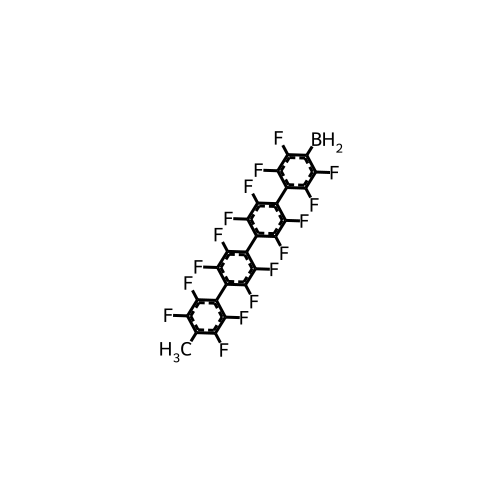 Bc1c(F)c(F)c(-c2c(F)c(F)c(-c3c(F)c(F)c(-c4c(F)c(F)c(C)c(F)c4F)c(F)c3F)c(F)c2F)c(F)c1F